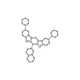 c1ccc(-c2ccc3oc4c(-c5ccc6ccccc6c5)c5oc6ccc(-c7ccccc7)cc6c5cc4c3c2)cc1